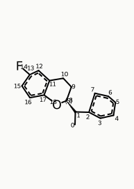 CC(c1ccccc1)[C@@H]1CCc2cc(F)ccc2O1